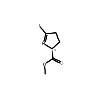 COC(=O)[C@@H]1CCC(I)=N1